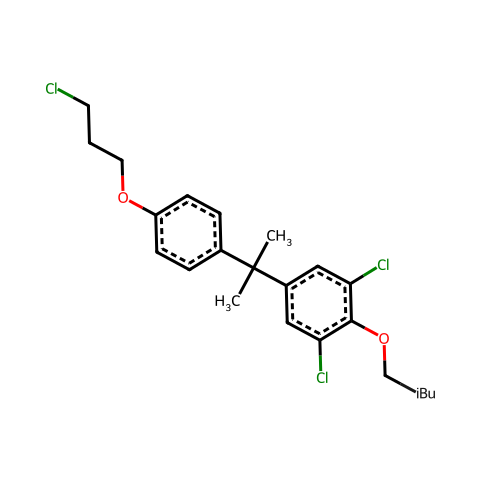 CCC(C)COc1c(Cl)cc(C(C)(C)c2ccc(OCCCCl)cc2)cc1Cl